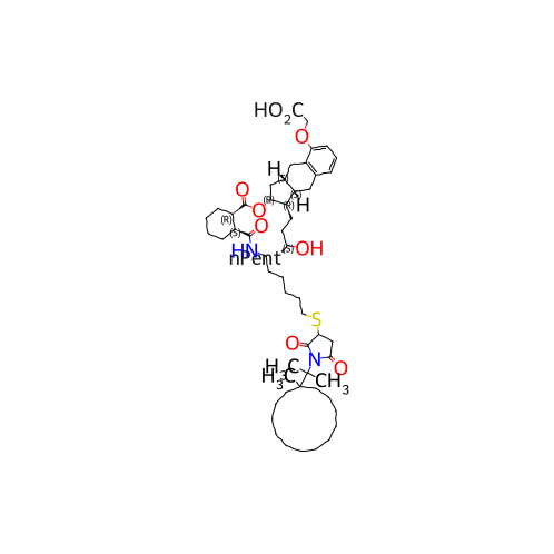 CCCCC[C@H](O)CC[C@@H]1[C@H]2Cc3cccc(OCC(=O)O)c3C[C@H]2C[C@H]1OC(=O)[C@@H]1CCCC[C@@H]1C(=O)NCCCCCCSC1CC(=O)N(C(C)(C)C2(C)CCCCCCCCCCCC2)C1=O